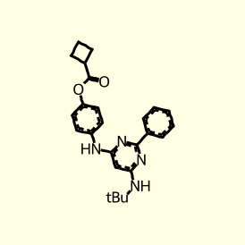 CC(C)(C)Nc1cc(Nc2ccc(OC(=O)C3CCC3)cc2)nc(-c2ccccc2)n1